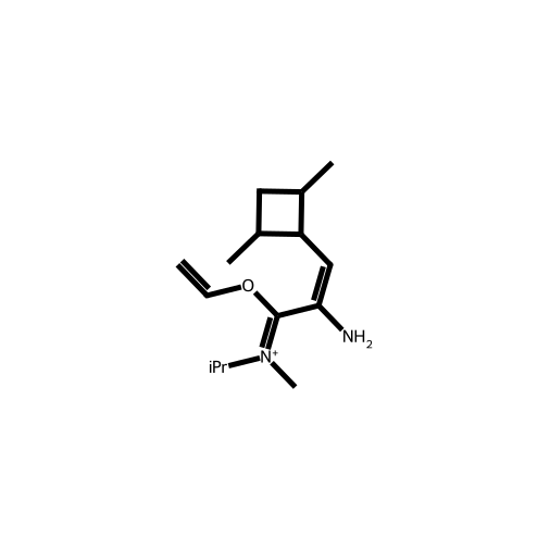 C=COC(/C(N)=C\C1C(C)CC1C)=[N+](/C)C(C)C